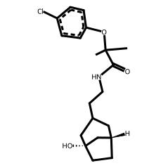 CC(C)(Oc1ccc(Cl)cc1)C(=O)NCCC1C[C@@H]2CC[C@@](O)(C1)C2